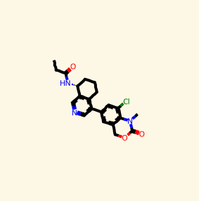 CCC(=O)N[C@@H]1CCCc2c(-c3cc(Cl)c4c(c3)COC(=O)N4C)cncc21